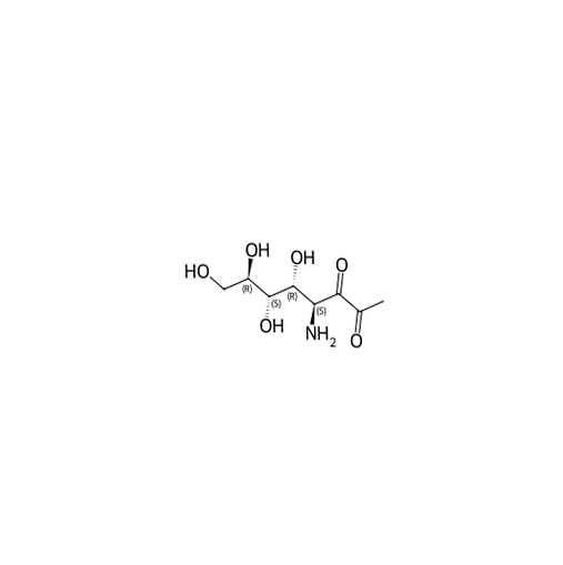 CC(=O)C(=O)[C@@H](N)[C@@H](O)[C@H](O)[C@H](O)CO